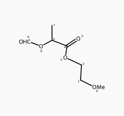 COCCOC(=O)C(C)OC=O